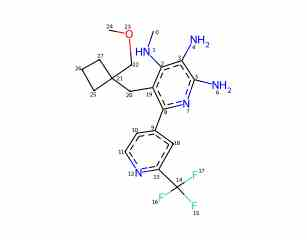 CNc1c(N)c(N)nc(-c2ccnc(C(F)(F)F)c2)c1CC1(COC)CCC1